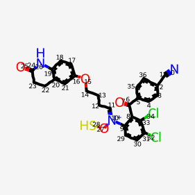 N#Cc1ccc(C(=O)c2c([N+](=CCCCOc3ccc4c(c3)CCC(=O)N4)OS)ccc(Cl)c2Cl)cc1